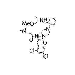 COCC(C)NCc1ccccc1N1CCN(C(=O)[C@@H](Cc2ccc(Cl)cc2Cl)NC(=O)CCN(C)C)CC1